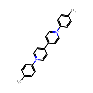 FC(F)(F)c1ccc(-[n+]2ccc(-c3cc[n+](-c4ccc(C(F)(F)F)cc4)cc3)cc2)cc1